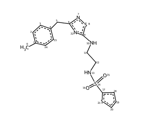 Cc1ccc(Cc2nsc(NCCNS(=O)(=O)c3cccs3)n2)cc1